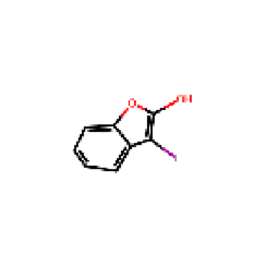 Oc1oc2ccccc2c1I